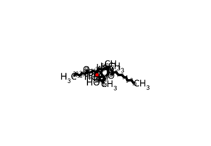 CCCCCCCCCC(=O)O[C@@]12CC[C@]34C=C(C)[C@H](O)[C@@]3(O)[C@H](O)C(COC(=O)CCCCC)=C[C@H](C4=O)[C@@H]1C2(C)C